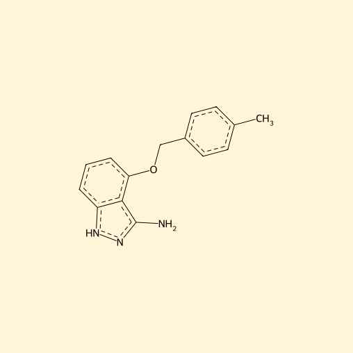 Cc1ccc(COc2cccc3[nH]nc(N)c23)cc1